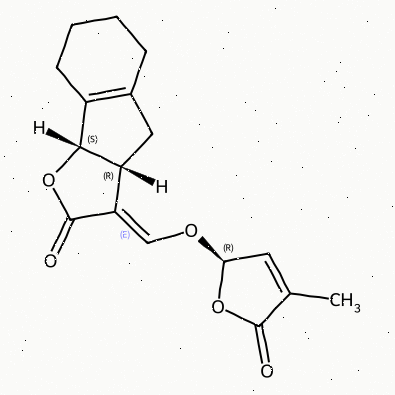 CC1=C[C@H](O/C=C2/C(=O)O[C@@H]3C4=C(CCCC4)C[C@H]23)OC1=O